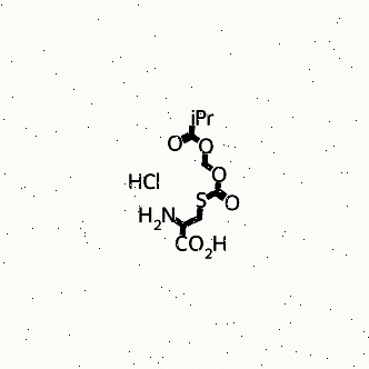 CC(C)C(=O)OCOC(=O)SCC(N)C(=O)O.Cl